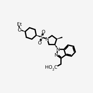 CCO[C@H]1CC[C@@H](S(=O)(=O)N2C[C@@H](C)[C@@H](n3nc(CC(=O)O)c4ccccc43)C2)CC1